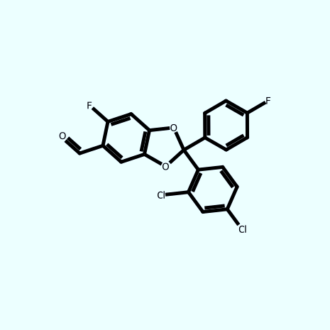 O=Cc1cc2c(cc1F)OC(c1ccc(F)cc1)(c1ccc(Cl)cc1Cl)O2